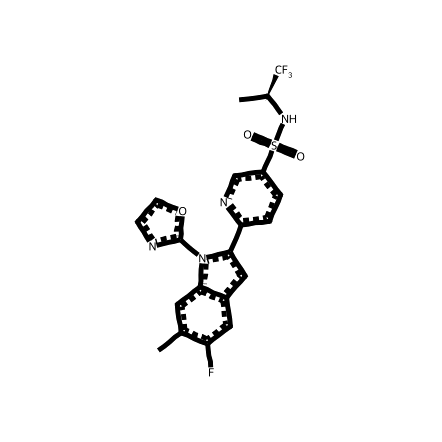 Cc1cc2c(cc1F)cc(-c1ccc(S(=O)(=O)N[C@@H](C)C(F)(F)F)cn1)n2-c1ncco1